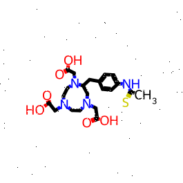 CC(=S)Nc1ccc(CC2CN(CC(=O)O)CCN(CC(=O)O)CCN2CC(=O)O)cc1